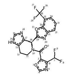 O=C(c1ocnc1C(F)F)N1CCc2[nH]cnc2[C@H]1c1nc2cccc(C(F)(F)F)c2o1